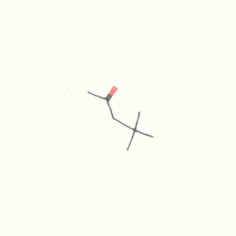 CCCCCCC(C)(CCCC)CC(=O)OC